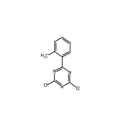 Cc1cc[c]cc1-c1nc(Cl)nc(Cl)n1